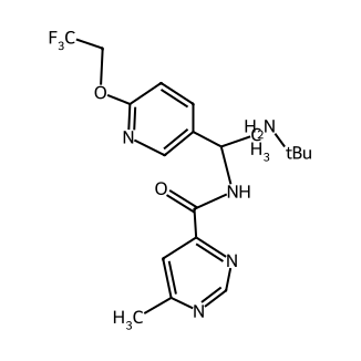 CC(C)(C)N.Cc1cc(C(=O)NC(C)c2ccc(OCC(F)(F)F)nc2)ncn1